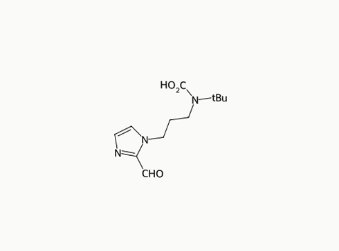 CC(C)(C)N(CCCn1ccnc1C=O)C(=O)O